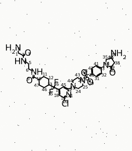 NCC(=O)NCCNC(=O)C1CCC(C(F)(F)c2cc(Cl)nc(N3CCN(S(=O)(=O)c4ccc(N5C[C@H](N)CC5=O)cc4)CC3)c2)CC1